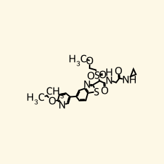 COCCS(=O)(=O)C(C(=O)NCC(=O)NC1CC1)c1nc2cc(-c3ccc(OC(C)C)nc3)ccc2s1